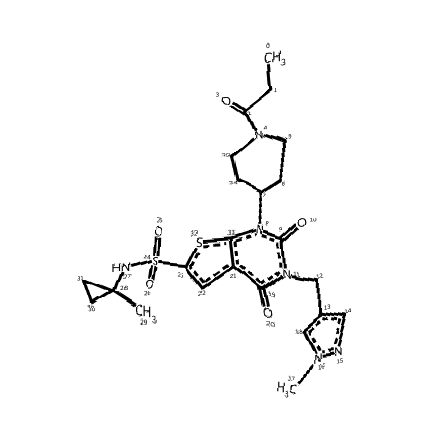 CCC(=O)N1CCC(n2c(=O)n(Cc3cnn(C)c3)c(=O)c3cc(S(=O)(=O)NC4(C)CC4)sc32)CC1